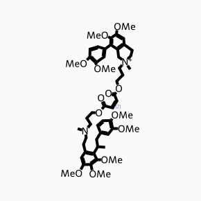 COc1ccc(CC(C)c2c(CCN(C)CCCOC(=O)/C=C\C(=O)OCCC[N+]3(C)CCc4cc(OC)c(OC)c(-c5ccc(OC)c(OC)c5)c4C3)cc(OC)c(OC)c2OC)cc1OC